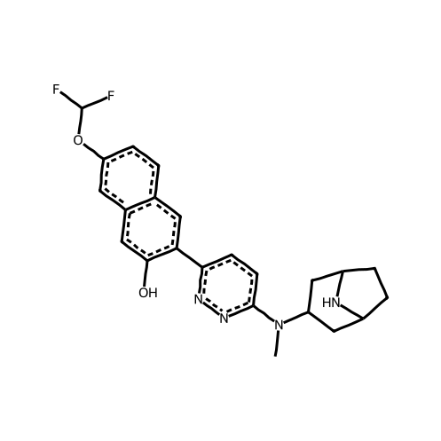 CN(c1ccc(-c2cc3ccc(OC(F)F)cc3cc2O)nn1)C1CC2CCC(C1)N2